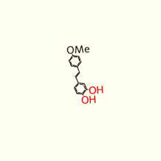 COc1ccc(C=Cc2ccc(O)c(O)c2)cc1